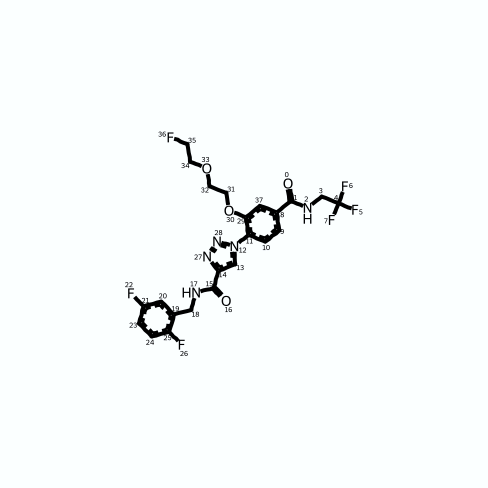 O=C(NCC(F)(F)F)c1ccc(-n2cc(C(=O)NCc3cc(F)ccc3F)nn2)c(OCCOCCF)c1